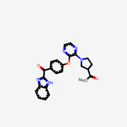 COC(=O)C1CCN(c2nccnc2Oc2ccc(C(=O)c3nc4ccccc4[nH]3)cc2)C1